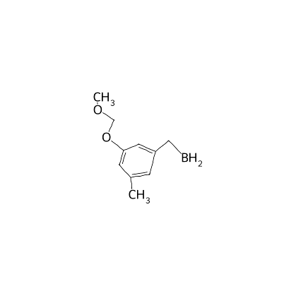 BCc1cc(C)cc(OCOC)c1